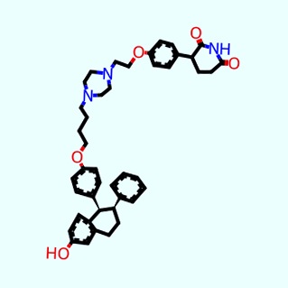 O=C1CCC(c2ccc(OCCN3CCN(CCCCOc4ccc([C@@H]5c6ccc(O)cc6CC[C@@H]5c5ccccc5)cc4)CC3)cc2)C(=O)N1